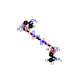 CN1Cc2c(Cl)cc(Cl)cc2[C@H](c2cccc(S(=O)(=O)NC(C)(C)COCCOCCNC(=O)NCCCCNC(=O)NCCOCCOCC(C)(C)NS(=O)(=O)c3cccc([C@@H]4CN(C)Cc5c(Cl)cc(Cl)cc54)c3)c2)C1